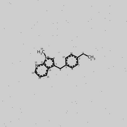 CCc1ccc(Cc2cn(C)c3ncccc23)cc1